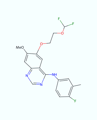 COc1cc2ncnc(Nc3ccc(F)c(C)c3)c2cc1OCCOC(F)F